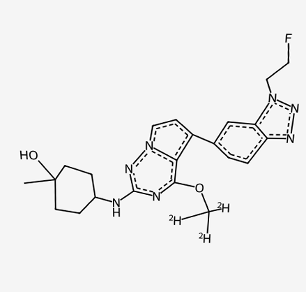 [2H]C([2H])([2H])Oc1nc(NC2CCC(C)(O)CC2)nn2ccc(-c3ccc4nnn(CCF)c4c3)c12